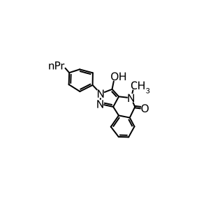 CCCc1ccc(-n2nc3c4ccccc4c(=O)n(C)c3c2O)cc1